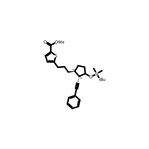 COC(=O)c1ccc(CCC[C@H]2CCC(O[Si](C)(C)C(C)(C)C)[C@@H]2C#Cc2ccccc2)s1